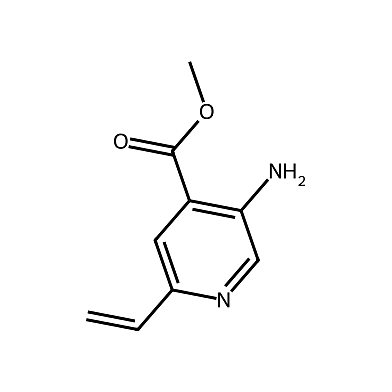 C=Cc1cc(C(=O)OC)c(N)cn1